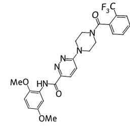 COc1ccc(OC)c(NC(=O)c2ccc(N3CCN(C(=O)c4ccccc4C(F)(F)F)CC3)nn2)c1